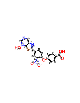 O=C(O)c1ccc(Oc2ccc(C3=NC4=CN=CN(O)C4S3)cc2[N+](=O)[O-])cc1